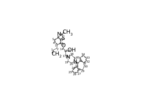 C=CCc1ccc2nc(C)sc2c1OCC(O)CN1CCN(C2c3ccccc3CCc3ccccc32)CC1